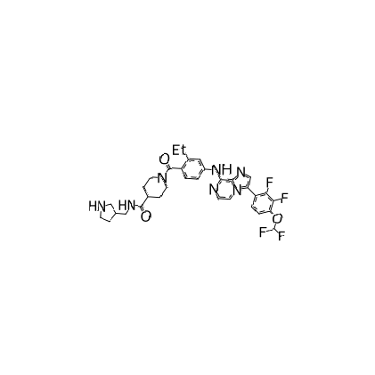 CCc1cc(Nc2nccn3c(-c4ccc(OC(F)F)c(F)c4F)cnc23)ccc1C(=O)N1CCC(C(=O)NCC2CCNC2)CC1